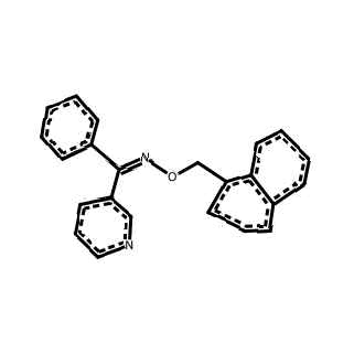 c1ccc(C(=NOCc2cccc3ccccc23)c2cccnc2)cc1